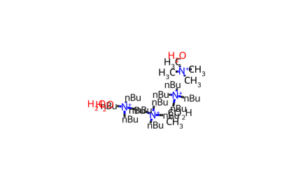 CC(=O)O.CCCC[N+](CCCC)(CCCC)CCCC.CCCC[N+](CCCC)(CCCC)CCCC.CCCC[N+](CCCC)(CCCC)CCCC.C[N+](C)(C)C.O.O.O